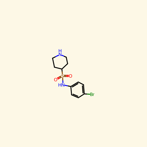 O=S(=O)(Nc1ccc(Br)cc1)C1CCNCC1